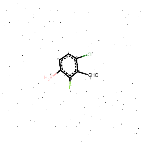 Bc1ccc(Cl)c(C=O)c1F